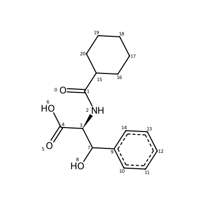 O=C(N[C@H](C(=O)O)C(O)c1ccccc1)C1CCCCC1